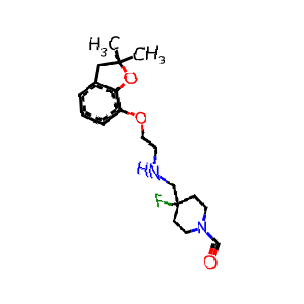 CC1(C)Cc2cccc(OCCNCC3(F)CCN(C=O)CC3)c2O1